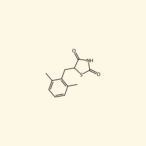 Cc1cccc(C)c1CC1SC(=O)NC1=O